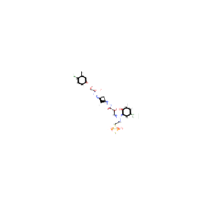 Cc1cc(OCC(=O)NC23CC(NC(=O)C4CN(CCS(C)(=O)=O)c5cc(Cl)ccc5O4)(C2)C3)ccc1Cl